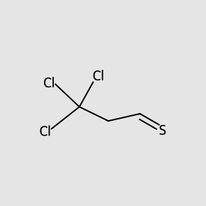 S=CCC(Cl)(Cl)Cl